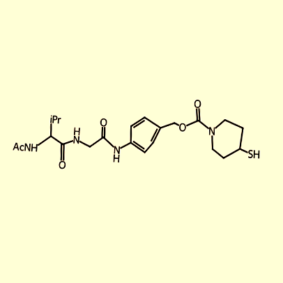 CC(=O)NC(C(=O)NCC(=O)Nc1ccc(COC(=O)N2CCC(S)CC2)cc1)C(C)C